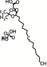 CCCCCCCCCCCCCCCC(OCC(=O)O)OC(C)(C)C.O=P([O-])(O)O.[K+]